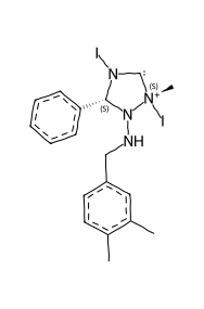 Cc1ccc(CNN2[C@H](c3ccccc3)N(I)[C][N@+]2(C)I)cc1C